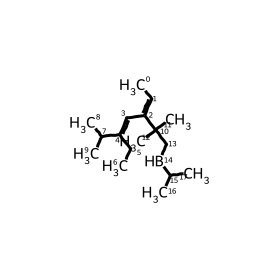 C/C=C(\C=C(/CC)C(C)C)C(C)(C)CBC(C)C